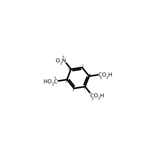 O=C(O)c1cc(C(=O)O)c([N+](=O)[O-])cc1C(=O)O